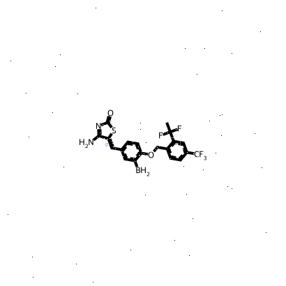 Bc1cc(/C=C2\SC(=O)N=C2N)ccc1OCc1ccc(C(F)(F)F)cc1C(C)(F)F